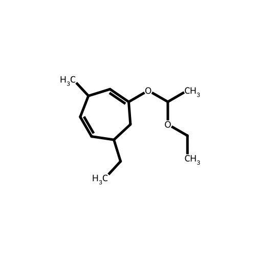 CCOC(C)OC1=CC(C)C=CC(CC)C1